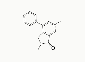 Cc1cc2c(c(-c3ccccc3)c1)CC(C)C2=O